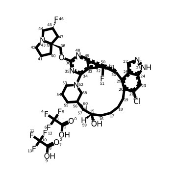 O=C(O)C(F)(F)F.O=C(O)C(F)(F)F.O[C@H]1CCCCc2c(Cl)cc3[nH]ncc3c2-c2ncc3c(nc(OC[C@@]45CCCN4C[C@H](F)C5)nc3c2F)N2CCC[C@@H](C1)C2